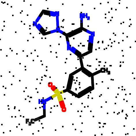 Cc1ccc(S(=O)(=O)NCC(F)(F)F)cc1-c1cnc(N)c(-n2cncn2)n1